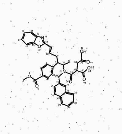 COC(=O)c1ccc(C(C/C=C/c2nc3ccccc3o2)C(C)N(Cc2ccc3ccccc3c2)C(=O)C(CC(=O)O)C(=O)O)cc1